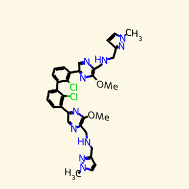 COc1nc(-c2cccc(-c3cccc(-c4cnc(CNCc5ccn(C)n5)c(OC)n4)c3Cl)c2Cl)cnc1CNCc1ccn(C)n1